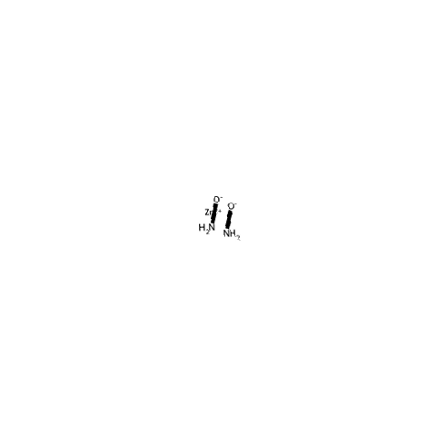 N[O-].N[O-].[Zn+2]